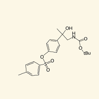 Cc1ccc(S(=O)(=O)Oc2ccc(C(C)(O)CNC(=O)OC(C)(C)C)cc2)cc1